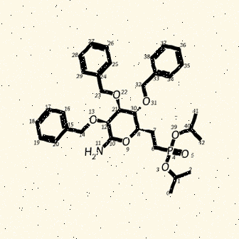 CC(C)OP(=O)(CC[C@H]1OC(N)[C@@H](OCc2ccccc2)[C@@H](OCc2ccccc2)[C@@H]1OCc1ccccc1)OC(C)C